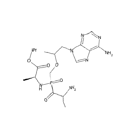 CC(C)OC(=O)[C@H](C)N[P@](=O)(COC(C)Cn1cnc2c(N)ncnc21)C(=O)C(C)N